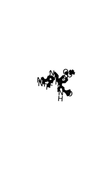 CN1CCN(c2nn(C3CCNC(C4COC4)C3)c3c2CN(C(=O)OC(C)(C)C)CC3)c2cc(C(F)(F)F)c(-c3cnn(C)c3)cc21